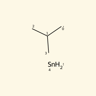 [CH2]C(C)C.[SnH2]